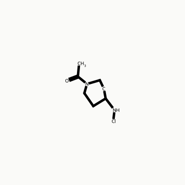 CC(=O)N1CCC(NCl)CC1